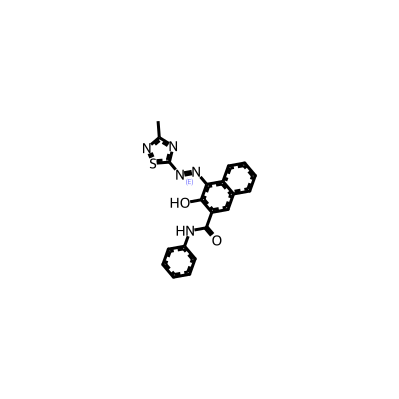 Cc1nsc(/N=N/c2c(O)c(C(=O)Nc3ccccc3)cc3ccccc23)n1